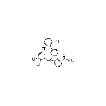 NC(=O)c1cccc2c1c1[c]cc(-c3c(Cl)cccc3Cl)cc1n2Cc1cccc(Cl)c1Cl